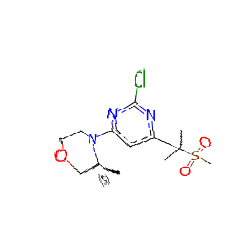 C[C@H]1COCCN1c1cc(C(C)(C)S(C)(=O)=O)nc(Cl)n1